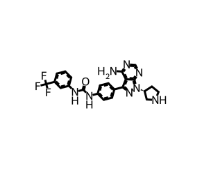 Nc1ncnc2c1c(-c1ccc(NC(=O)Nc3cccc(C(F)(F)F)c3)cc1)nn2[C@@H]1CCNC1